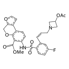 COC(=O)c1c(NS(=O)(=O)c2ccc(F)cc2/C=C\CN2CC(OC(C)=O)C2)ccc2c1OCc1occc1-2